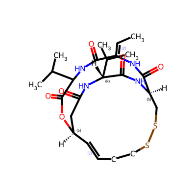 C/C=C1\NC(=O)[C@H]2CSSCC/C=C/[C@H](CC(=O)N[C@H](C(C)C)C(=O)N2)OC(=O)C(C(C)C)NC1=O